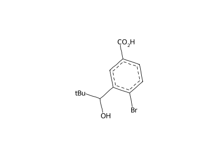 CC(C)(C)C(O)c1cc(C(=O)O)ccc1Br